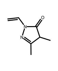 C=CN1N=C(C)C(C)C1=O